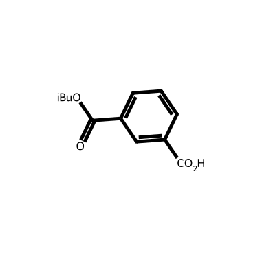 CC(C)COC(=O)c1cccc(C(=O)O)c1